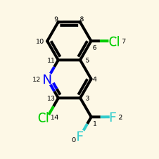 FC(F)c1cc2c(Cl)cccc2nc1Cl